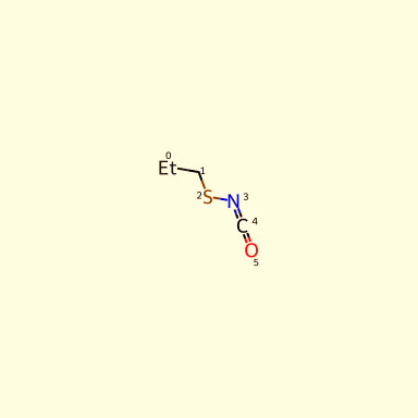 CCCSN=C=O